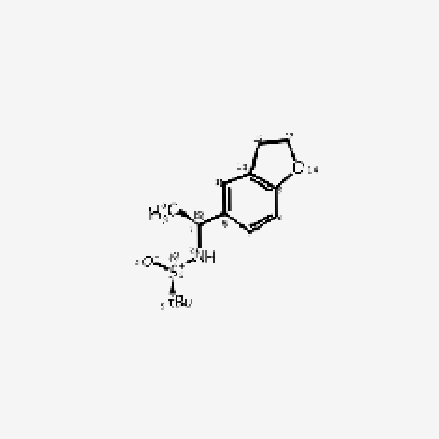 C[C@H](N[S@+]([O-])C(C)(C)C)c1ccc2c(c1)CCO2